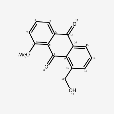 COc1cccc2c1C(=O)c1c(CO)cccc1C2=O